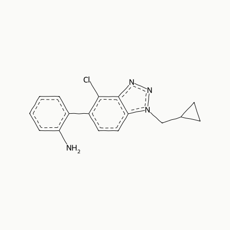 Nc1ccccc1-c1ccc2c(nnn2CC2CC2)c1Cl